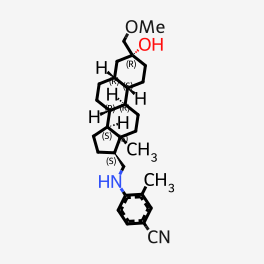 COC[C@@]1(O)CC[C@H]2[C@H](CC[C@@H]3[C@@H]2CC[C@]2(C)[C@@H](CNc4ccc(C#N)cc4C)CC[C@@H]32)C1